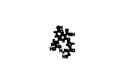 NC(CS)C(=O)N1CC(Oc2ccc3c(c2C(=O)O)OB(O)CC3)C1.O=C(O)C(F)(F)F